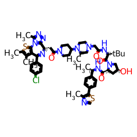 Cc1ncsc1-c1ccc([C@H](C)NC(=O)[C@@H]2C[C@@H](O)CN2C(=O)[C@@H](NC(=O)CN2CCN(C3CCN(C(=O)C[C@@H]4N=C(c5ccc(Cl)cc5)c5c(sc(C)c5C)-n5c(C)nnc54)CC3)[C@H](C)C2)C(C)(C)C)cc1